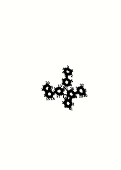 c1ccc(-c2ccc(N(c3ccc(-c4cccc5ccccc45)cc3)c3cc(-c4ccccc4)cc4c3oc3ccccc34)cc2)cc1